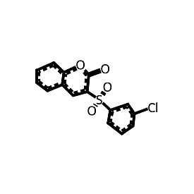 O=c1oc2ccccc2cc1S(=O)(=O)c1cccc(Cl)c1